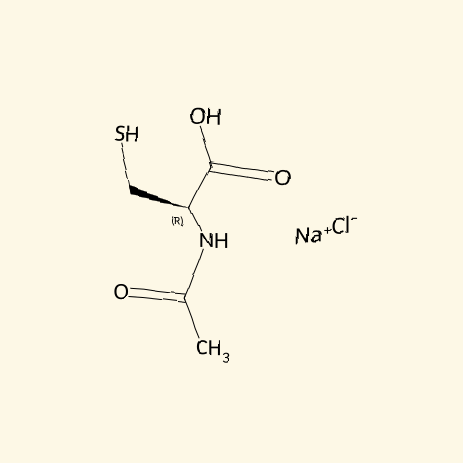 CC(=O)N[C@@H](CS)C(=O)O.[Cl-].[Na+]